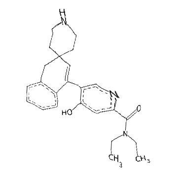 CCN(CC)C(=O)c1cc(O)c(C2=CC3(CCNCC3)Cc3ccccc32)cn1